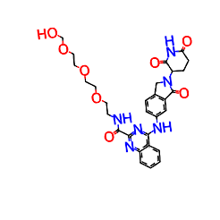 O=C1CCC(N2Cc3ccc(Nc4nc(C(=O)NCCOCCOCCOCO)nc5ccccc45)cc3C2=O)C(=O)N1